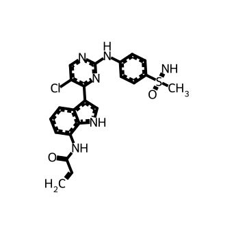 C=CC(=O)Nc1cccc2c(-c3nc(Nc4ccc(S(C)(=N)=O)cc4)ncc3Cl)c[nH]c12